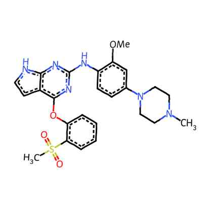 COc1cc(N2CCN(C)CC2)ccc1Nc1nc(Oc2ccccc2S(C)(=O)=O)c2cc[nH]c2n1